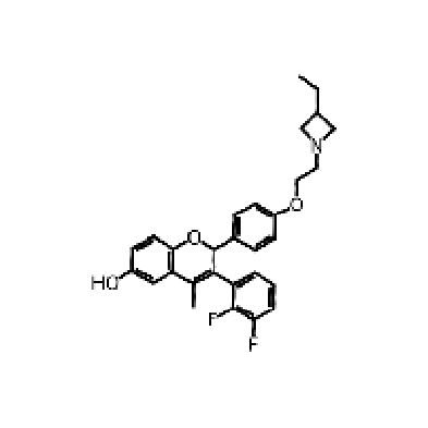 CCC1CN(CCOc2ccc(C3Oc4ccc(O)cc4C(C)=C3c3cccc(F)c3F)cc2)C1